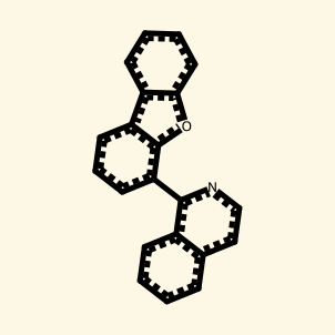 c1ccc2c(-c3cccc4c3oc3ccccc34)nccc2c1